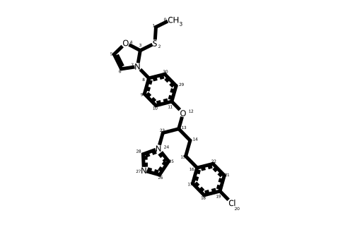 CCSC1OC=CN1c1ccc(OC(CCc2ccc(Cl)cc2)Cn2ccnc2)cc1